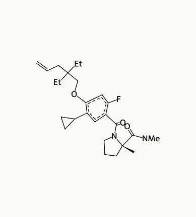 C=CCC(CC)(CC)COc1cc(F)c(C(=O)N2CCC[C@@]2(C)C(=O)NC)cc1C1CC1